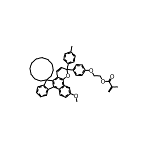 C=C(C)C(=O)OCCOc1ccc(C2(c3ccc(C)cc3)C=Cc3c4c(c5ccc(OC)cc5c3O2)-c2ccccc2C42CCCCCCCCCCC2)cc1